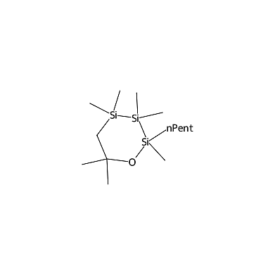 CCCCC[Si]1(C)OC(C)(C)C[Si](C)(C)[Si]1(C)C